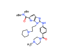 CCCCN(CCCC)C(=O)c1ccc2nc(Nc3ccc(C(=O)N4CCN(C)CC4)cc3)n(CCCN3CCCCC3)c2n1